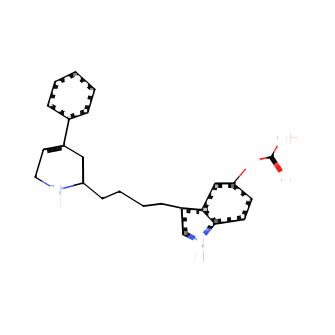 O=C(O)Oc1ccc2[nH]cc(CCCCC3CC(c4ccccc4)=CCN3)c2c1